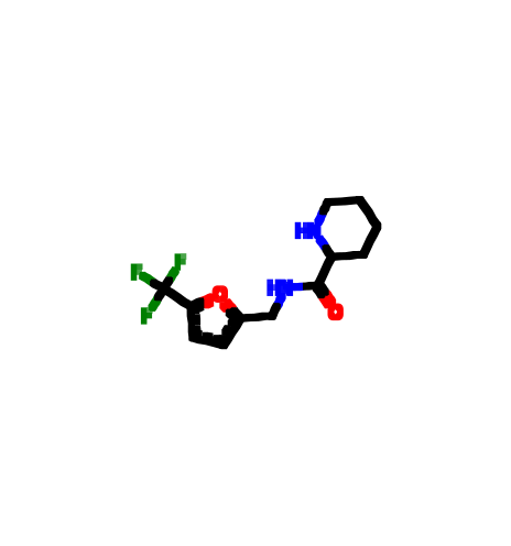 O=C(NCc1ccc(C(F)(F)F)o1)C1CCCCN1